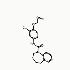 COCOc1ccc(NC(=O)N2CCCCc3ccccc32)cc1Cl